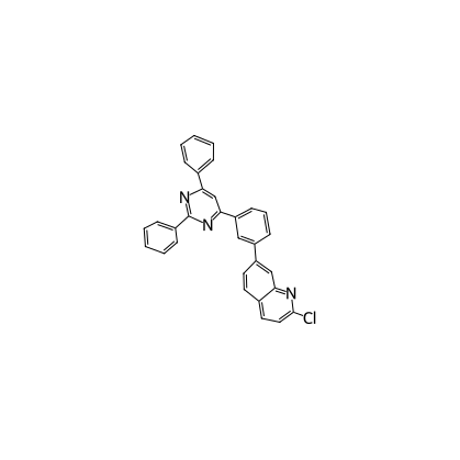 Clc1ccc2ccc(-c3cccc(-c4cc(-c5ccccc5)nc(-c5ccccc5)n4)c3)cc2n1